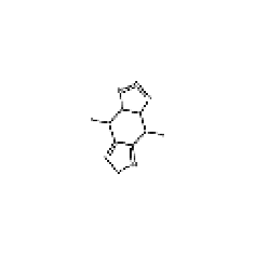 CC1c2nsnc2C(C)C2N=S=NC12